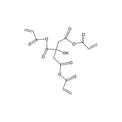 C=CC(=O)OC(=O)CC(O)(CC(=O)OC(=O)C=C)C(=O)OC(=O)C=C